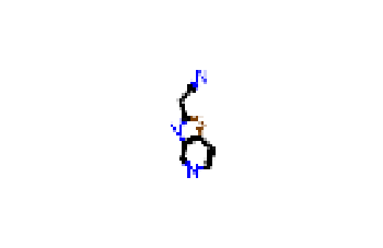 N#CCc1nc2cnccc2s1